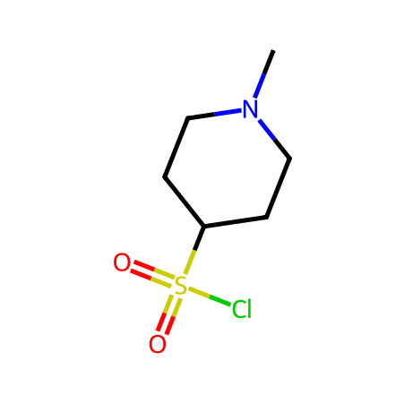 CN1CCC(S(=O)(=O)Cl)CC1